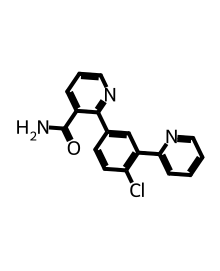 NC(=O)c1cccnc1-c1ccc(Cl)c(-c2ccccn2)c1